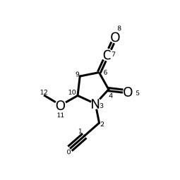 C#CCN1C(=O)C(=C=O)CC1OC